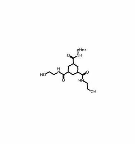 CCCCCCNC(=O)C1CC(C(=O)NCCO)CC(C(=O)NCCO)C1